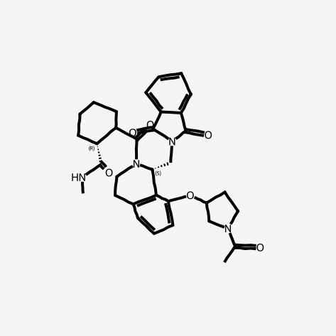 CNC(=O)[C@@H]1CCCCC1C(=O)N1CCc2cccc(OC3CCN(C(C)=O)C3)c2[C@H]1CN1C(=O)c2ccccc2C1=O